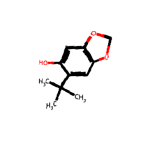 CC(C)(C)c1cc2c(cc1O)OCO2